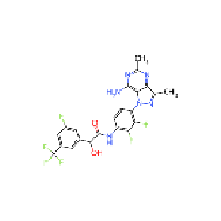 Cc1nc(N)c2c(n1)c(C)nn2-c1ccc(NC(=O)C(O)c2cc(F)cc(C(F)(F)F)c2)c(F)c1F